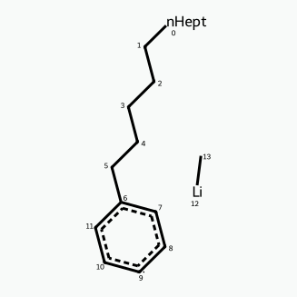 CCCCCCCCCCCCc1cc[c]cc1.[Li][CH3]